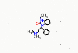 CCn1c(=O)n([C@H](CCN(C)C)c2ccccc2)c2ccccc21